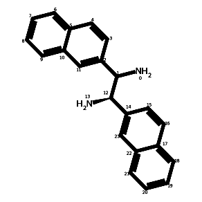 NC(c1ccc2ccccc2c1)[C@H](N)c1ccc2ccccc2c1